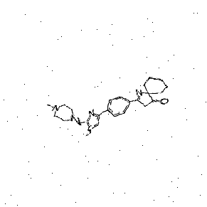 CN1CCN(c2nc(-c3ccc(C4=NC5(CCCCC5)C(=O)C4)cc3)cs2)CC1